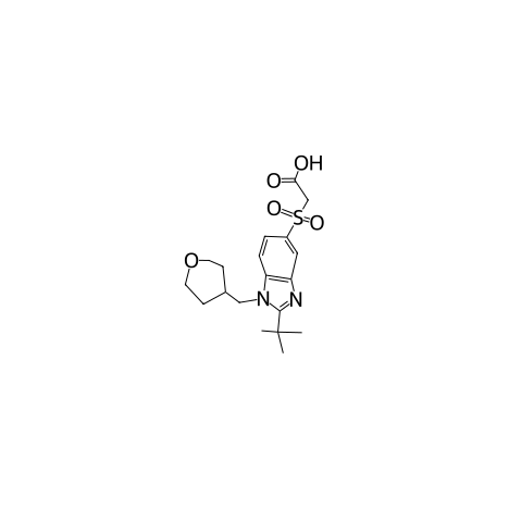 CC(C)(C)c1nc2cc(S(=O)(=O)CC(=O)O)ccc2n1CC1CCOCC1